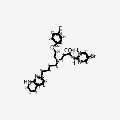 O=C(O)C(CCN(CCCCc1ccc2c(n1)NCCC2)CCOc1ccc(F)cc1)Nc1ncc(Br)cn1